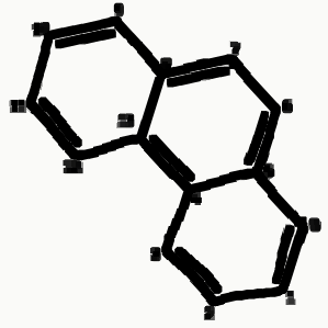 [c]1cccc2c1c[c]c1ccccc12